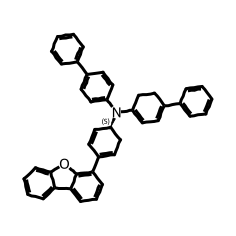 C1=C[C@@H](N(C2=CC=C(c3ccccc3)CC2)c2ccc(-c3ccccc3)cc2)CC=C1c1cccc2c1oc1ccccc12